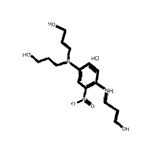 Cl.O=[N+]([O-])c1cc(N(CCCO)CCCO)ccc1NCCCO